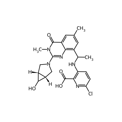 Cc1cc(C(C)Nc2ccc(Cl)nc2C(=O)O)c2nc(N3C[C@@H]4C(O)[C@@H]4C3)n(C)c(=O)c2c1